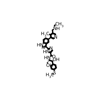 CCNCc1cncc(-c2ccc3[nH]nc(-c4ncc(C(=O)N[C@@H](CO)[C@@H](O)c5ccc(SC)cc5)[nH]4)c3c2)c1C